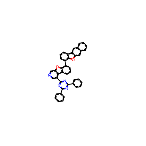 c1ccc(-c2nc(-c3ccccc3)nc(-c3cncc4oc5c(-c6cccc7c6oc6cc8ccccc8cc67)cccc5c34)n2)cc1